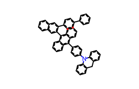 c1ccc(-c2ccc(-c3cc4ccccc4cc3-c3c4ccccc4c(-c4ccc(N5c6ccccc6Cc6ccccc65)cc4)c4ccccc34)cc2)cc1